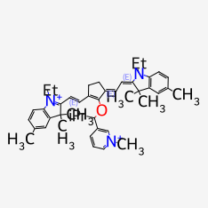 CCN1/C(=C/C=C2\CCC(/C=C/C3=[N+](CC)c4ccc(C)cc4C3(C)C)=C2OC(c2ccc[n+](C)c2)C(C)C)C(C)(C)c2cc(C)ccc21